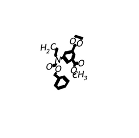 C=CCN(C(=O)OCc1ccccc1)c1cc(C(=O)OC)cc(C2OCCO2)c1